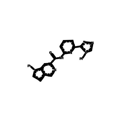 CC(C)n1cnnc1-c1cccc(NC(=O)c2cc3c(ccn3C(C)C)cn2)n1